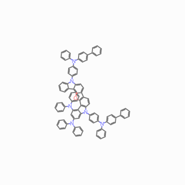 c1ccc(-c2ccc(N(c3ccccc3)c3ccc(-n4c5ccccc5c5c6oc7c(ccc8c7c7c(N(c9ccccc9)c9ccccc9)cc(N(c9ccccc9)c9ccccc9)cc7n8-c7ccc(N(c8ccccc8)c8ccc(-c9ccccc9)cc8)cc7)c6ccc54)cc3)cc2)cc1